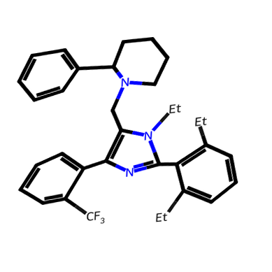 CCc1cccc(CC)c1-c1nc(-c2ccccc2C(F)(F)F)c(CN2CCCCC2c2ccccc2)n1CC